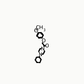 COc1ccc(OCC(=O)N2CCN(C3CCCCC3)CC2)cc1